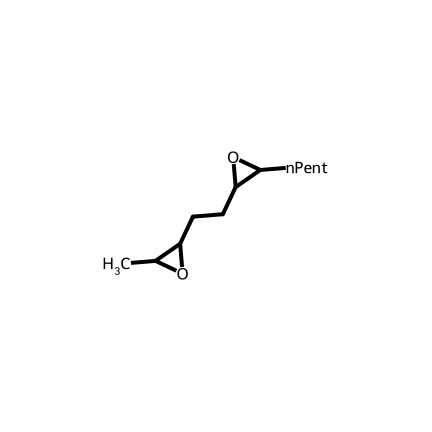 CCCCCC1OC1CCC1OC1C